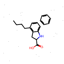 CCCCc1cccc2c1CC(C(=O)O)N2.c1ccccc1